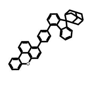 c1ccc2c(c1)Oc1ccc(-c3ccc(-c4cccc5c4-c4ccccc4C54C5CC6CC(C5)CC4C6)cc3)c3cccc-2c13